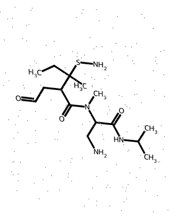 CCC(C)(SN)C(CC=O)C(=O)N(C)C(CN)C(=O)NC(C)C